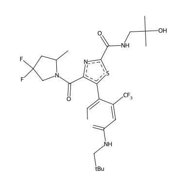 C=C(/C=C(\C(=C/C)c1sc(C(=O)NCC(C)(C)O)nc1C(=O)N1CC(F)(F)CC1C)C(F)(F)F)NCC(C)(C)C